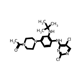 CC(=O)N1CCN(c2ccc(Nc3nc(Cl)ncc3Cl)c(NC(C)(C)C)c2)CC1